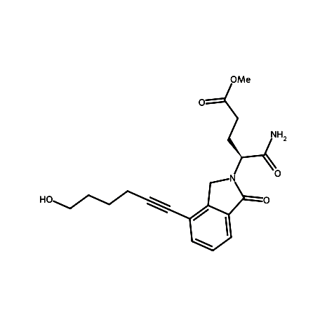 COC(=O)CC[C@@H](C(N)=O)N1Cc2c(C#CCCCCO)cccc2C1=O